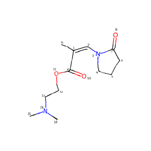 CC(=CN1CCCC1=O)C(=O)OCCN(C)C